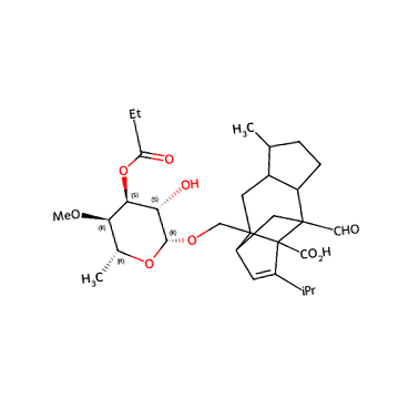 CCC(=O)O[C@H]1[C@H](O)[C@H](OCC23CC4C(C)CCC4C4(C=O)CC2C=C(C(C)C)C43C(=O)O)O[C@H](C)[C@H]1OC